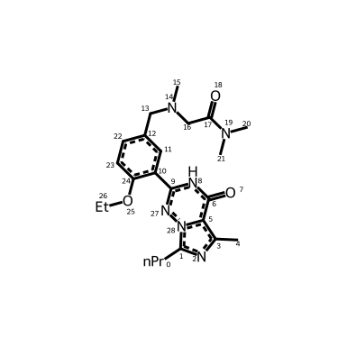 CCCc1nc(C)c2c(=O)[nH]c(-c3cc(CN(C)CC(=O)N(C)C)ccc3OCC)nn12